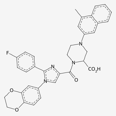 Cc1cc(N2CCN(C(=O)c3cn(-c4ccc5c(c4)OCCO5)c(-c4ccc(F)cc4)n3)C(C(=O)O)C2)cc2ccccc12